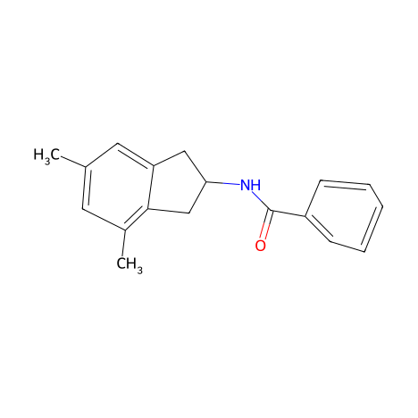 Cc1cc(C)c2c(c1)CC(NC(=O)c1ccccc1)C2